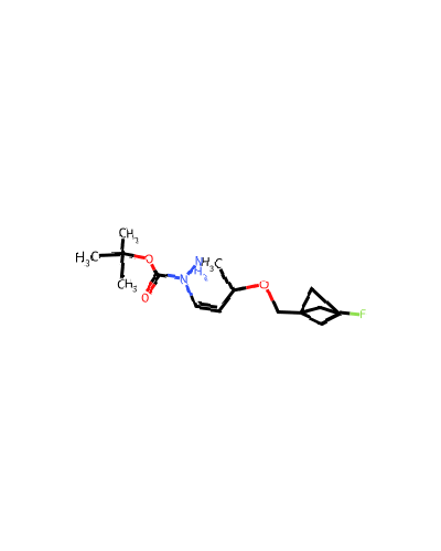 CC(/C=C\N(N)C(=O)OC(C)(C)C)OCC12CC(F)(C1)C2